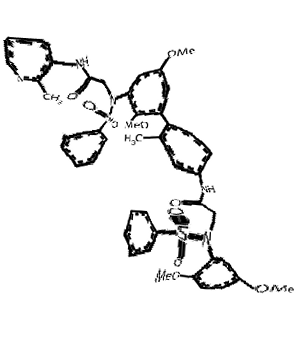 COc1ccc(OC)c(N(CC(=O)Nc2ccc(-c3cc(OC)cc(N(CC(=O)Nc4cccnc4C)S(=O)(=O)c4ccccc4)c3OC)c(C)c2)S(=O)(=O)c2ccccc2)c1